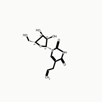 C=CCc1cn([C@@H]2O[C@H](CO)[C@@H](O)[C@H]2O)c(=O)[nH]c1=O